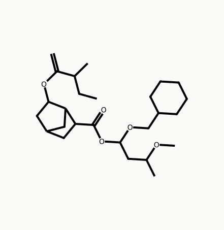 C=C(OC1CC2CC(C(=O)OC(CC(C)OC)OCC3CCCCC3)C1C2)C(C)CC